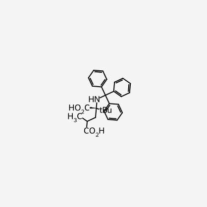 CC(C[C@@](NC(c1ccccc1)(c1ccccc1)c1ccccc1)(C(=O)O)C(C)(C)C)C(=O)O